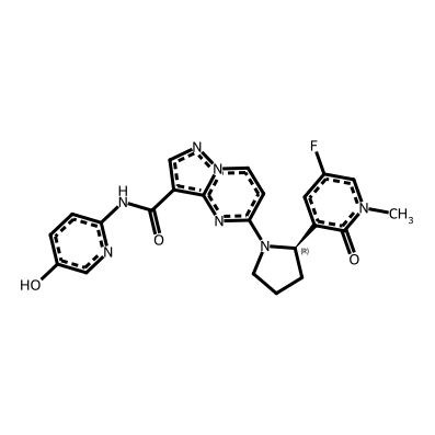 Cn1cc(F)cc([C@H]2CCCN2c2ccn3ncc(C(=O)Nc4ccc(O)cn4)c3n2)c1=O